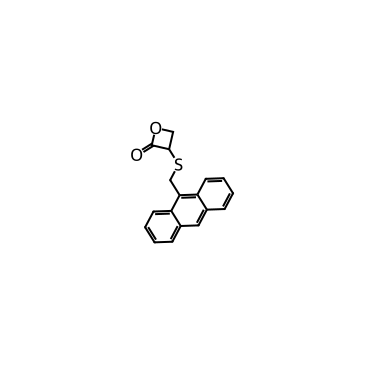 O=C1OCC1SCc1c2ccccc2cc2ccccc12